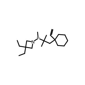 C=CC1(CC(C)(C)P(C)N2CC(CC)(CC)C2)CCCCC1